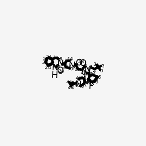 CC(C)(C)CCN1C(=O)C(CC(=O)N2CCC(N3CCc4ccccc4NC3=O)CC2)SC1c1cccc(F)c1N1CCN(C2CC2)CC1